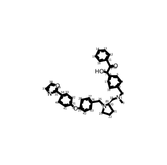 CN(Cc1ccc(C(O)C(=O)c2ccccc2)cc1)C[C@H]1CCCN1Cc1ccc(Oc2ccc(-c3ncco3)cc2)cc1